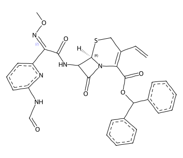 C=CC1=C(C(=O)OC(c2ccccc2)c2ccccc2)N2C(=O)C(NC(=O)/C(=N\OC)c3cccc(NC=O)n3)[C@H]2SC1